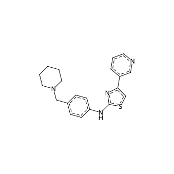 c1cncc(-c2csc(Nc3ccc(CN4CCCCC4)cc3)n2)c1